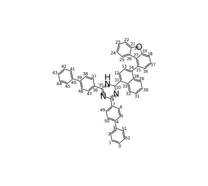 c1ccc(-c2ccc(C3=NC(c4ccc(-c5cccc6oc7ccccc7c56)c5ccccc45)NC(c4ccc(-c5ccccc5)cc4)=N3)cc2)cc1